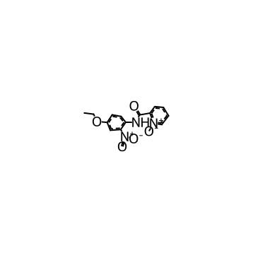 CCOc1ccc(NC(=O)c2cccc[n+]2[O-])c([N+](=O)[O-])c1